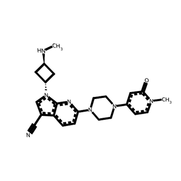 CN[C@H]1C[C@H](n2cc(C#N)c3ccc(N4CCN(c5ccn(C)c(=O)c5)CC4)nc32)C1